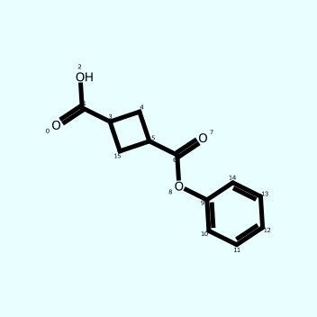 O=C(O)C1CC(C(=O)Oc2ccccc2)C1